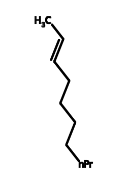 C/C=C/CCCCCCC